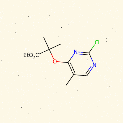 CCOC(=O)C(C)(C)Oc1nc(Cl)ncc1C